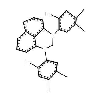 Cc1cc(Br)c(N2CN(c3cc(C)c(C)cc3Br)c3cccc4cccc2c34)cc1C